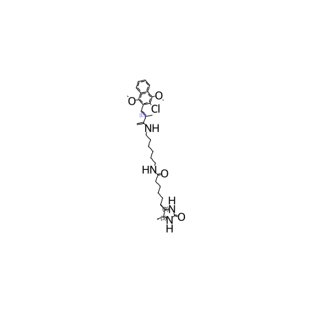 C=C(NCCCCCCNC(=O)CCCCC[C@H]1NC(=O)N[C@H]1C)/C(C)=C/c1c(Cl)c(OC)c2ccccc2c1OC